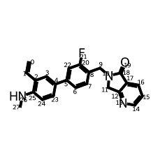 C=Cc1cc(-c2ccc(CN3Cc4ncccc4C3=O)c(F)c2)ccc1NC